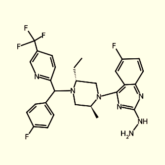 CC[C@@H]1CN(c2nc(NN)nc3ccc(F)cc23)[C@@H](C)CN1C(c1ccc(F)cc1)c1ccc(C(F)(F)F)cn1